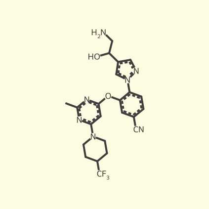 Cc1nc(Oc2cc(C#N)ccc2-n2cc(C(O)CN)cn2)cc(N2CCC(C(F)(F)F)CC2)n1